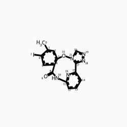 Cc1cc2c(cc1I)C(=O)Nc1cccc(n1)-c1nncn1O2